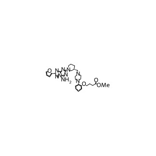 COC(=O)CCCOc1ccccc1N1CCN(C[C@@H]2CCCN(c3nc(N)n4nc(-c5ccco5)nc4n3)C2)CC1